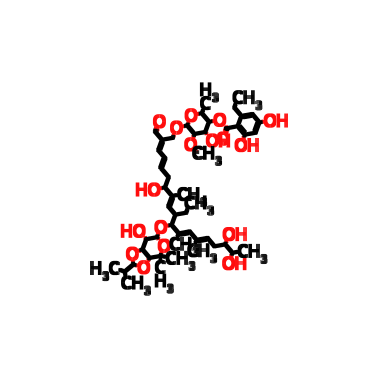 CCc1cc(O)cc(O)c1C(=O)OC1C(C)OC(OC/C(C=O)=C\C=C\CC(O)/C(C)=C/C(CC)C(OC2OC(C)(C)C3OC(C(C)C)OC3C2O)/C(C)=C/C(C)=C/CC(O)C(C)O)C(OC)C1O